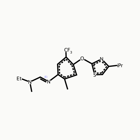 CCN(C)/C=N/c1cc(C(F)(F)F)c(Oc2nc(C(C)C)cs2)cc1C